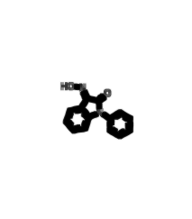 O=C1/C(=N/O)c2ccccc2N1c1ccccc1